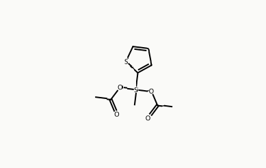 CC(=O)O[Si](C)(OC(C)=O)c1cccs1